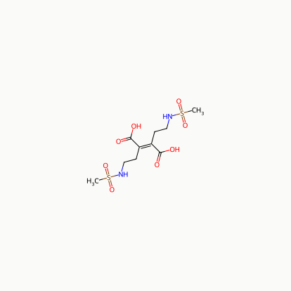 CS(=O)(=O)NCCC(C(=O)O)=C(CCNS(C)(=O)=O)C(=O)O